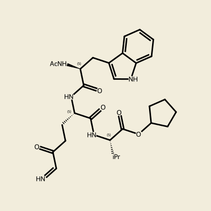 CC(=O)N[C@@H](Cc1c[nH]c2ccccc12)C(=O)N[C@@H](CCC(=O)C=N)C(=O)N[C@H](C(=O)OC1CCCC1)C(C)C